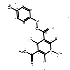 CCCN1C(C)=C(C(=O)OC)C(CC)C(C(=O)OSc2ccc(Cl)cc2)=C1C